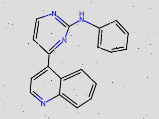 c1ccc(Nc2nccc(-c3ccnc4ccccc34)n2)cc1